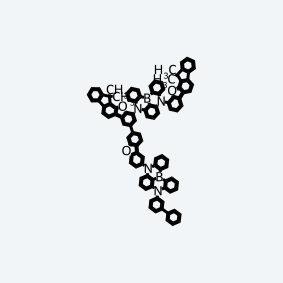 CC1(C)c2ccccc2-c2ccc3c(oc4c(N5c6ccccc6B6c7ccccc7N(c7cc(-c8ccc9c(c8)oc8ccc(N%10c%11ccccc%11B%11c%12ccccc%12N(c%12cccc(-c%13ccccc%13)c%12)c%12cccc%10c%12%11)cc89)cc8c7oc7c9c(ccc78)-c7ccccc7C9(C)C)c7cccc5c76)cccc43)c21